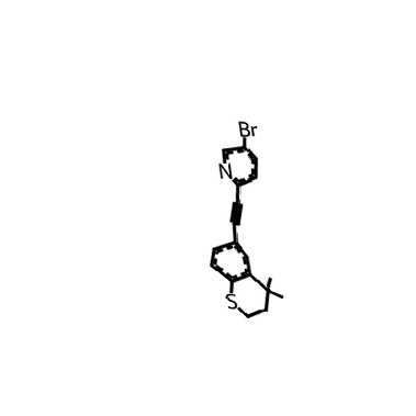 CC1(C)CCSc2ccc(C#Cc3ccc(Br)cn3)cc21